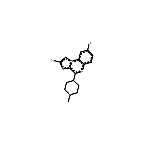 CCc1cn2c(n1)c(C1CCN(C)CC1)nc1ccc(Cl)cc12